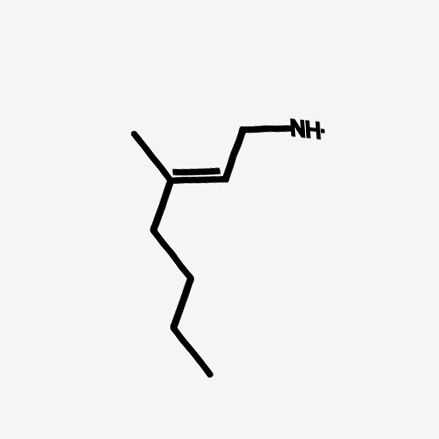 CCCCC(C)=CC[NH]